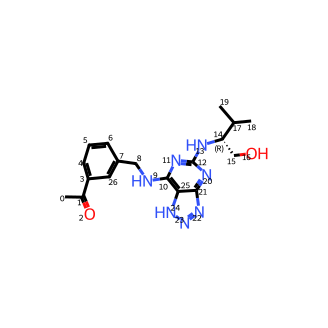 CC(=O)c1cccc(CNc2nc(N[C@@H](CO)C(C)C)nc3nn[nH]c23)c1